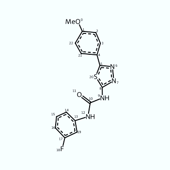 COc1ccc(-c2nnc(NC(=O)Nc3cccc(F)c3)s2)cc1